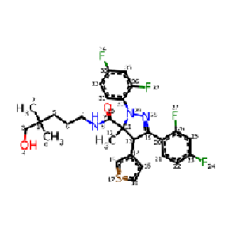 CC(C)(CO)CCCNC(=O)C1(C)C(c2ccsc2)C(c2ccc(F)cc2F)=NN1c1ccc(F)cc1F